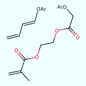 C=C(C)C(=O)OCCOC(=O)COC(C)=O.C=CC=COC(C)=O